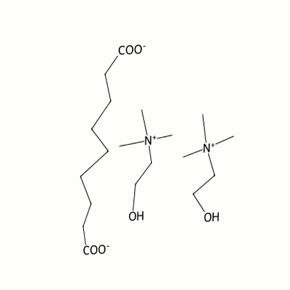 C[N+](C)(C)CCO.C[N+](C)(C)CCO.O=C([O-])CCCCCCCC(=O)[O-]